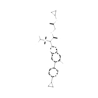 CC(C)S(=O)(=O)C(C(=O)NCC(=O)NC1CC1)c1nc2cc(F)c(-c3ccc(C4CC4)nc3)cc2s1